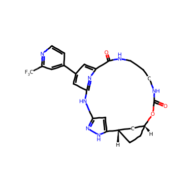 O=C1NCCCNC(=O)c2cc(-c3ccnc(C(F)(F)F)c3)cc(n2)Nc2cc([nH]n2)[C@H]2CC[C@H](C2)O1